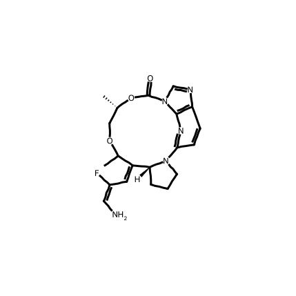 CC1OC[C@H](C)OC(=O)n2cnc3ccc(nc32)N2CCC[C@@H]2/C1=C/C(F)=C\N